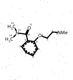 CNCCOc1ccccc1C(=O)N(C)C